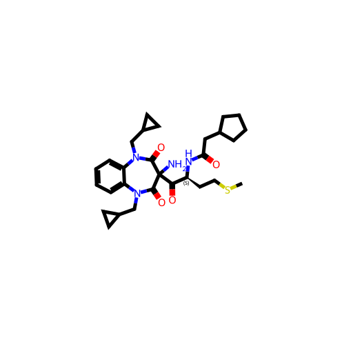 CSCC[C@H](NC(=O)CC1CCCC1)C(=O)C1(N)C(=O)N(CC2CC2)c2ccccc2N(CC2CC2)C1=O